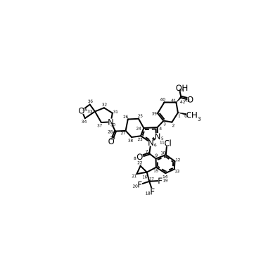 C[C@H]1CC(c2nn(C(=O)c3c(Cl)cccc3C3(C(F)(F)F)CC3)c3c2CCC(C(=O)N2CCC4(COC4)C2)C3)=CC[C@H]1C(=O)O